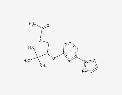 CC(C)(C)C(COC(N)=O)Oc1cccc(-n2cccn2)n1